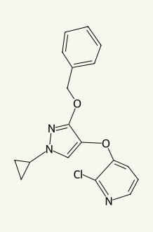 Clc1ncccc1Oc1cn(C2CC2)nc1OCc1ccccc1